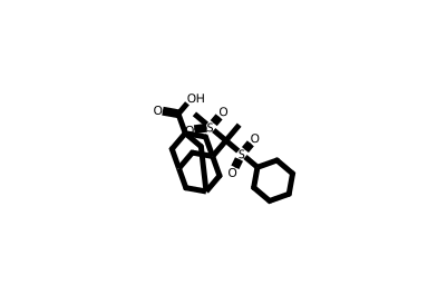 CC(C12CC3CC(CC(C(=O)O)(C3)C1)C2)(S(C)(=O)=O)S(=O)(=O)C1CCCCC1